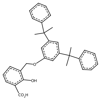 CC(C)(c1ccccc1)c1cc(OCc2cccc(C(=O)O)c2O)cc(C(C)(C)c2ccccc2)c1